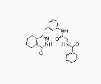 O=C(CNC(=O)c1ccccc1)Nc1cccc(Cc2n[nH]c(=O)c3c2CCCC3)c1